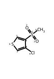 CS(=O)(=O)c1cs[c]c1Cl